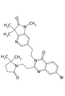 CN1C(=O)C(C)(C)c2ncc(CCn3c(CCN4C(=O)CCC4(C)C)nc4cc(Br)ccc4c3=O)cc21